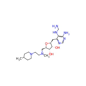 CC1CCN(CCN(C)C[C@H]2O[C@@H](Cc3ncnc(N)c3NCN)[C@H](O)[C@@H]2O)CC1